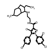 CCC1CC2CC(C)CC(C2)C1NCCNC(=O)c1nn(-c2ccc(Cl)cc2Cl)c(-c2ccc(Cl)cc2)c1Cl